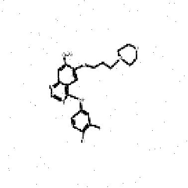 COc1cc2ncnc(Nc3ccc(Cl)c(F)c3)c2cc1OCCCN1CCOCC1